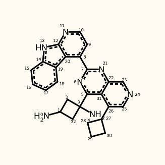 NC1CC(N)(c2nc(-c3ccnc4[nH]c5ccccc5c34)nc3cncc(C4CCC4)c23)C1